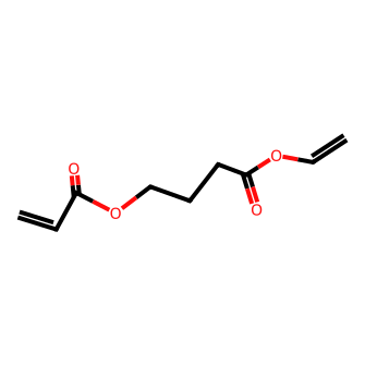 C=COC(=O)CCCOC(=O)C=C